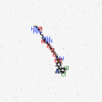 CCNC(=O)NCCCCNC(=O)NCCOCCOCCOCCNS(=O)(=O)c1ccc(C2CN(C)Cc3c(Cl)cc(Cl)cc32)cc1